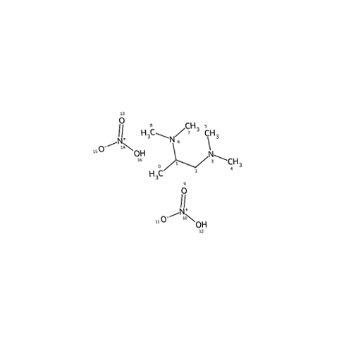 CC(CN(C)C)N(C)C.O=[N+]([O-])O.O=[N+]([O-])O